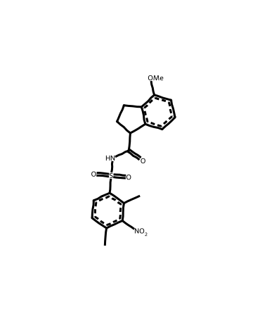 COc1cccc2c1CCC2C(=O)NS(=O)(=O)c1ccc(C)c([N+](=O)[O-])c1C